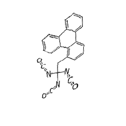 O=C=NC(Cc1cccc2c3ccccc3c3ccccc3c12)(N=C=O)N=C=O